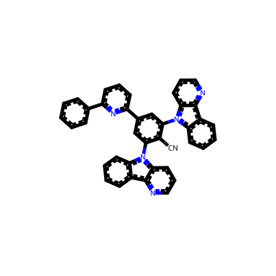 N#Cc1c(-n2c3ccccc3c3ncccc32)cc(-c2cccc(-c3ccccc3)n2)cc1-n1c2ccccc2c2ncccc21